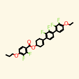 CCCOc1ccc(C(=O)OC2CC=C(c3ccc(-c4ccc(OCC)c(F)c4F)c(F)c3F)CC2)c(F)c1F